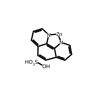 C1=C[N]2[Zn][N]3C=CC=c4ccc(c2c43)=C1.O=S(=O)(O)O